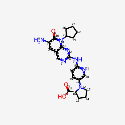 Nc1cc2cnc(Nc3ccc(N4CCC[C@H]4C(=O)O)cn3)nc2n(C2CCCC2)c1=O